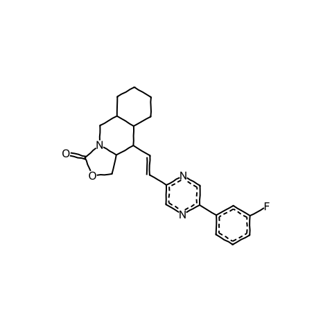 O=C1OCC2C(/C=C/c3cnc(-c4cccc(F)c4)cn3)C3CCCCC3CN12